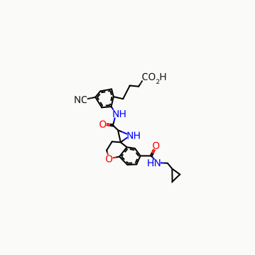 N#Cc1ccc(CCCC(=O)O)c(NC(=O)C2NC23CCOc2ccc(C(=O)NCC4CC4)cc23)c1